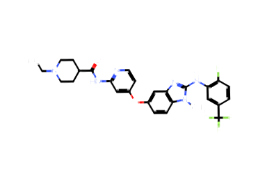 CCN1CCC(C(=O)Nc2cc(Oc3ccc4c(c3)nc(Nc3cc(C(F)(F)F)ccc3F)n4C)ccn2)CC1